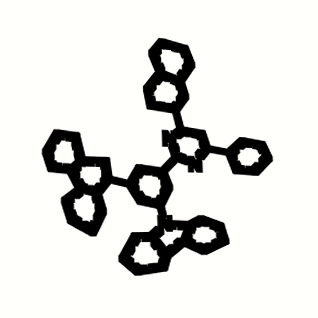 c1ccc(-c2cc(-c3ccc4ccccc4c3)nc(-c3cc(-c4cc5ccccc5c5ccccc45)cc(-n4c5ccccc5c5ccccc54)c3)n2)cc1